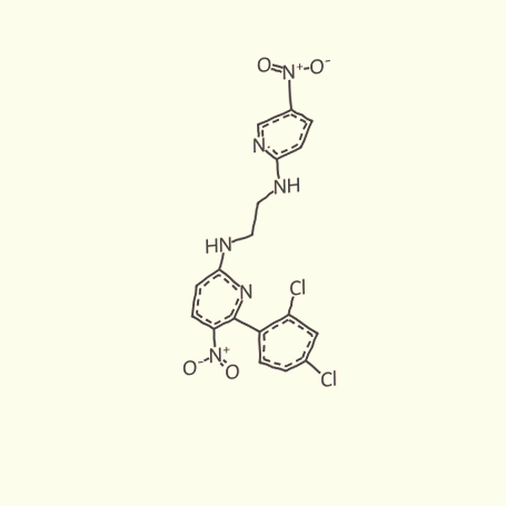 O=[N+]([O-])c1ccc(NCCNc2ccc([N+](=O)[O-])c(-c3ccc(Cl)cc3Cl)n2)nc1